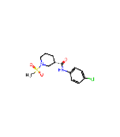 CS(=O)(=O)N1CCC[C@H](C(=O)Nc2ccc(Cl)cc2)C1